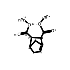 CCCOC(=O)C1C2=CCC(C2)C1C(=O)OCCC